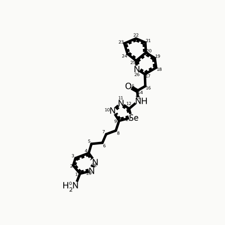 Nc1ccc(CCCCc2nnc(NC(=O)Cc3ccc4ccccc4n3)[se]2)nn1